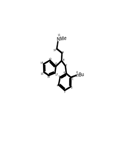 CCCCc1ccccc1CC(CCNC)c1ccccc1